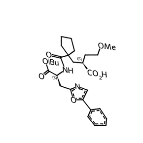 COCC[C@H](CC1(C(=O)N[C@@H](Cc2ncc(-c3ccccc3)o2)C(=O)OCC(C)C)CCCC1)C(=O)O